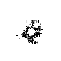 CN(C)CCCC[C@@H]1NC(=O)[C@H](CS)NC(=O)C[C@@H](C(=O)N2CCC[C@H]2C(N)=O)NC(=O)[C@@H](NC(=O)[C@@H]2CCCN2C(=O)CO)CCCCNC(=O)[C@H](CS)NC(=O)[C@H](Cc2c[nH]c3ccccc23)NC1=O